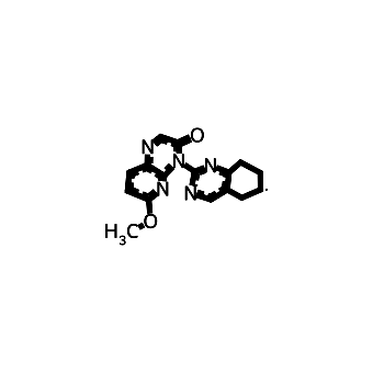 COc1ccc2ncc(=O)n(-c3ncc4c(n3)CC[CH]C4)c2n1